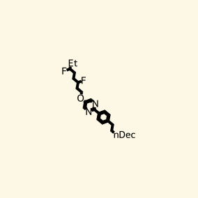 CCCCCCCCCCCCc1ccc(-c2ncc(OCCC(F)CCC(F)CC)cn2)cc1